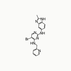 Cc1nc2cc(Nc3ncc(Br)c(NCc4ccccn4)n3)ccc2[nH]1